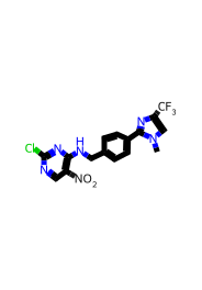 Cn1cc(C(F)(F)F)nc1-c1ccc(CNc2nc(Cl)ncc2[N+](=O)[O-])cc1